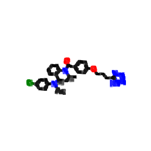 CC(=O)N(c1ccc(Cl)cc1)[C@@H]1C[C@H](C)N(C(=O)c2ccc(OCCCc3nnn[nH]3)cc2)c2ccccc21